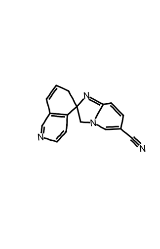 N#CC1=CN2CC3(CC=Cc4cnccc43)N=C2C=C1